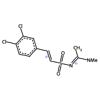 CN/C(C)=N/S(=O)(=O)/C=C/c1ccc(Cl)c(Cl)c1